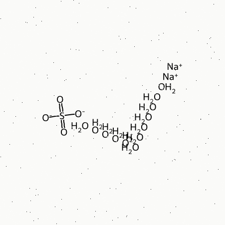 O.O.O.O.O.O.O.O.O.O.O.O.O=S(=O)([O-])[O-].[Na+].[Na+]